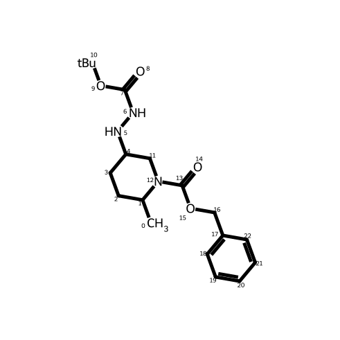 CC1CCC(NNC(=O)OC(C)(C)C)CN1C(=O)OCc1ccccc1